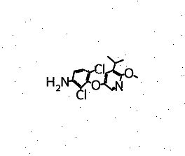 COc1ncc(Oc2c(Cl)ccc(N)c2Cl)cc1C(C)C